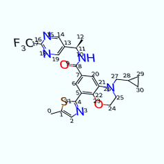 Cc1cnc(-c2cc(C(=O)N[C@H](C)c3cnc(C(F)(F)F)nc3)cc3c2OCCN3CC2CC2)s1